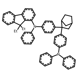 CCC1(CC)c2ccccc2-c2cccc(N(c3ccccc3)c3ccc(C4(c5ccc(N(c6ccccc6)c6ccccc6)cc5)CC5CCC4C5)cc3)c21